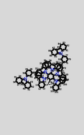 N#Cc1c(-n2c3ccccc3c3ccccc32)c(-n2c3ccccc3c3cc(-c4cccc(-n5c6ccccc6c6ccccc65)c4)ccc32)c(-n2c3ccccc3c3ccccc32)c(-n2c3ccccc3c3cc(-c4cccc(-n5c6ccccc6c6ccccc65)c4)ccc32)c1-n1c2ccccc2c2ccccc21